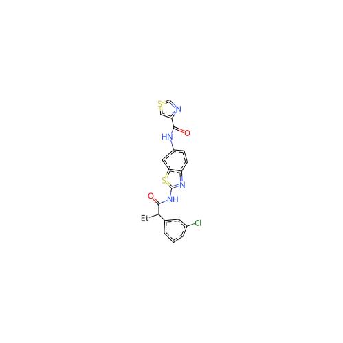 CCC(C(=O)Nc1nc2ccc(NC(=O)c3cscn3)cc2s1)c1cccc(Cl)c1